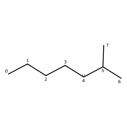 CCCC[C]C(C)C